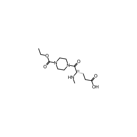 CCOC(=O)N1CCN(C(=O)[C@H](CCC(=O)O)NC)CC1